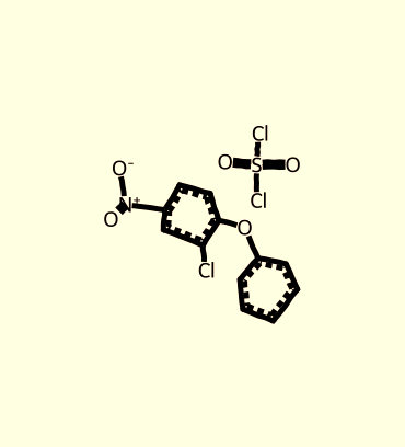 O=S(=O)(Cl)Cl.O=[N+]([O-])c1ccc(Oc2ccccc2)c(Cl)c1